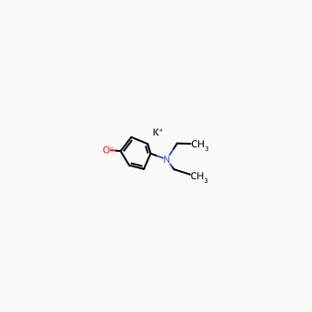 CCN(CC)c1ccc([O-])cc1.[K+]